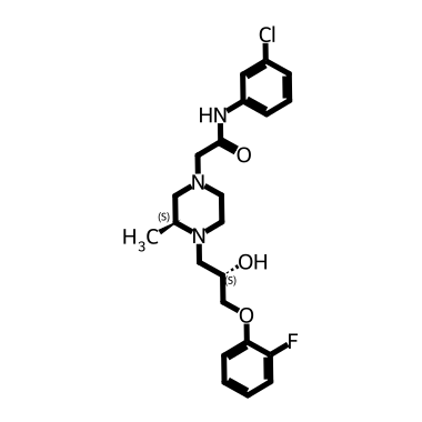 C[C@H]1CN(CC(=O)Nc2cccc(Cl)c2)CCN1C[C@H](O)COc1ccccc1F